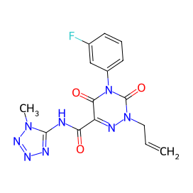 C=CCn1nc(C(=O)Nc2nnnn2C)c(=O)n(-c2cccc(F)c2)c1=O